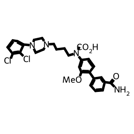 COc1cc(N(CCCCN2CCN(c3cccc(Cl)c3Cl)CC2)C(=O)O)ccc1-c1cccc(C(N)=O)c1